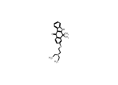 CCN(CC)CCOc1ccc2c(c1)C(C)(C)c1[nH]c3ccccc3c1C2=O